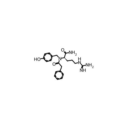 N=C(N)NCCC[C@H](C(N)=O)N(Cc1ccc(O)cc1)C(=O)Cc1ccccc1